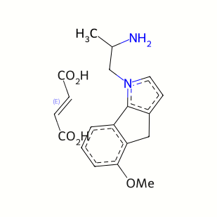 COc1cccc2c1Cc1ccn(CC(C)N)c1-2.O=C(O)/C=C/C(=O)O